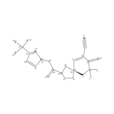 CC1(C)C[C@@]2(C=C(C#N)C1=O)CCN(C(=O)Cn1ccc(C(F)(F)F)n1)C2